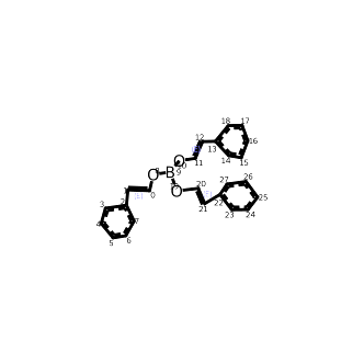 C(=C\c1ccccc1)/OB(O/C=C/c1ccccc1)O/C=C/c1ccccc1